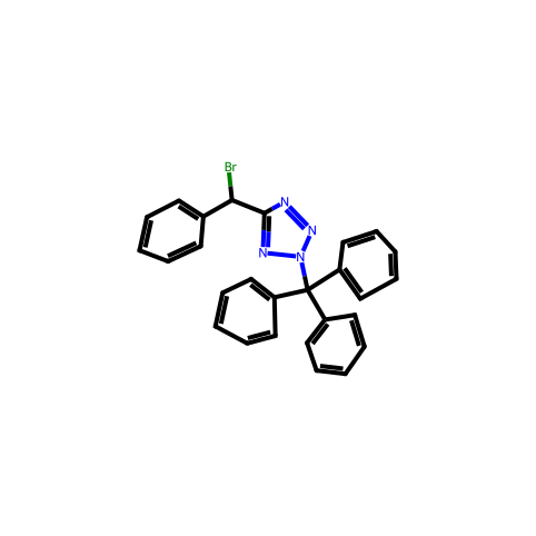 BrC(c1ccccc1)c1nnn(C(c2ccccc2)(c2ccccc2)c2ccccc2)n1